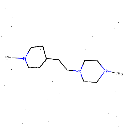 CC(C)N1CCC(CCN2CCN(C(C)(C)C)CC2)CC1